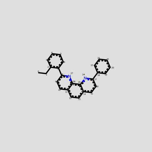 CCc1ccccc1-c1ccc2ccc3ccc(-c4ccccc4)nc3c2n1